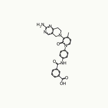 Cc1ccn(-c2ccc(NC(=O)c3cccc(C(=O)O)c3)cc2)c(=O)c1N1CCc2nc(N)ncc2C1